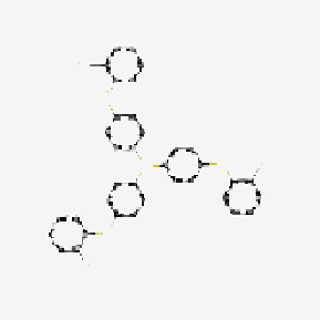 CC(=O)c1ccccc1Sc1ccc([S+](c2ccc(Sc3ccccc3C(C)=O)cc2)c2ccc(Sc3ccccc3C(C)=O)cc2)cc1